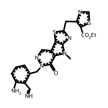 CCOC(=O)c1scnc1Cc1nc2c(s1)c1cnn(Cc3cccc(N)c3C=N)c(=O)c1n2C